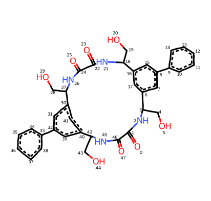 O=C1NC(CO)c2cc(-c3ccccc3)cc(c2)C(CO)NC(=O)C(=O)NC(CO)c2cc(-c3ccccc3)cc(c2)C(CO)NC1=O